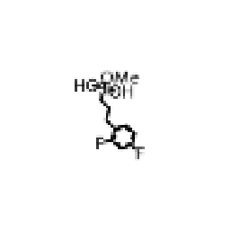 CO[Si](O)(O)CCCc1ccc(F)cc1F